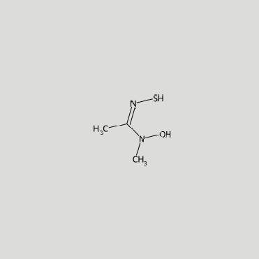 C/C(=N/S)N(C)O